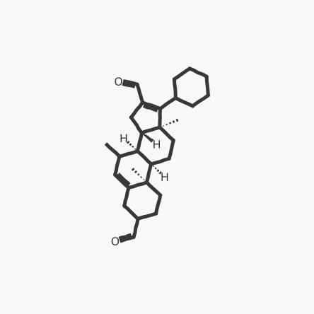 CC1C=C2CC(C=O)CC[C@]2(C)[C@@H]2CC[C@]3(C)C(C4CCCCC4)=C(C=O)C[C@H]3[C@H]12